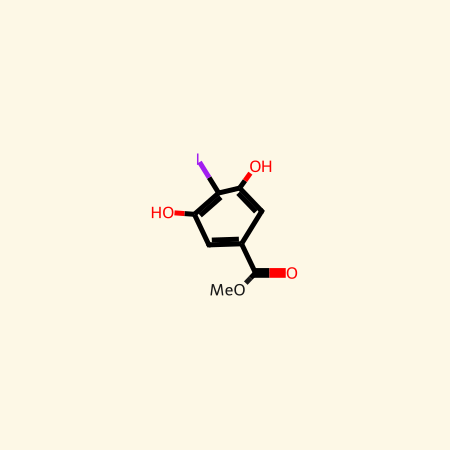 COC(=O)c1cc(O)c(I)c(O)c1